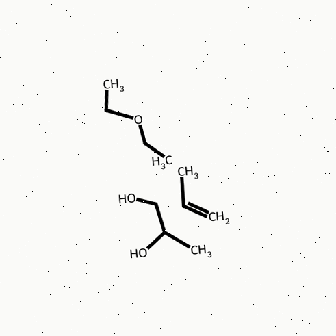 C=CC.CC(O)CO.CCOCC